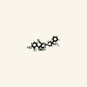 N#Cc1nc(N2CCC(N)(c3ccccc3)CC2)nc2[nH]nc(-c3ccnc(O)c3Cl)c12